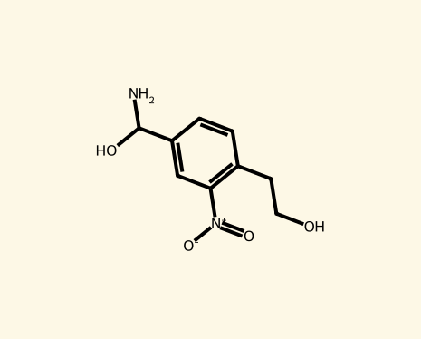 NC(O)c1ccc(CCO)c([N+](=O)[O-])c1